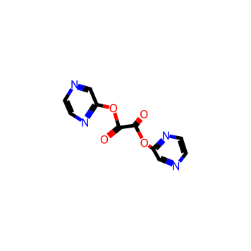 O=C(Oc1cnccn1)C(=O)Oc1cnccn1